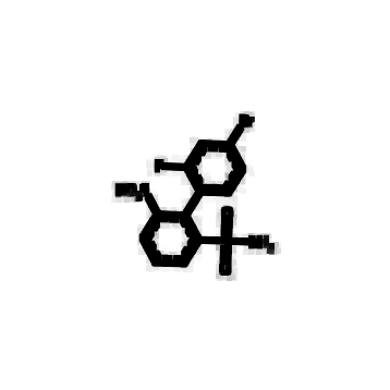 NS(=O)(=O)c1cccc(S(=O)(=O)O)c1-c1ccc(Br)cc1F